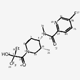 CC[C@@](O)(C(=O)N1CC[C@H](N(C)C(=O)c2ccc(F)cn2)[C@H](C)C1)C(F)(F)F